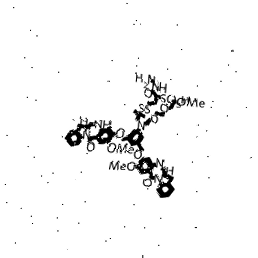 COCCOCCOCCN(CC(C)(C)SSCCC(C(=O)NN)S(=O)(=O)O)c1cc(COc2cc3c(cc2OC)C(=O)N2c4ccccc4C[C@H]2C=N3)cc(COc2cc3c(cc2OC)C(=O)N2c4ccccc4C[C@H]2CN3)c1